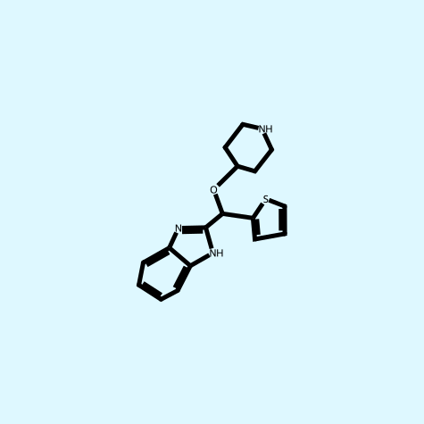 c1csc(C(OC2CCNCC2)c2nc3ccccc3[nH]2)c1